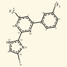 FC(F)(F)c1cccc(-c2cc(C(F)(F)F)nc(-c3nc(I)c[nH]3)n2)c1